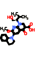 COc1nc2c(cc1N1CCCc3ccccc31)c(=O)c(C(=O)O)cn2[C@H](CO)C(C)C